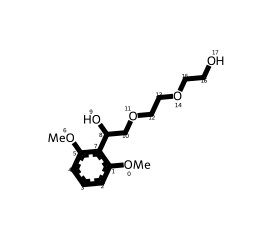 COc1cccc(OC)c1C(O)COCCOCCO